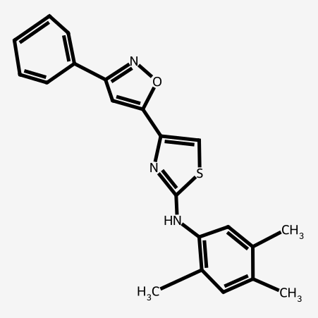 Cc1cc(C)c(Nc2nc(-c3cc(-c4ccccc4)no3)cs2)cc1C